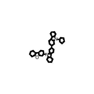 c1ccc(-n2c3ccccc3c3ccc(-c4ccc5c6ccccc6n(-c6ccc7c(c6)oc6ccccc67)c5c4)cc32)cc1